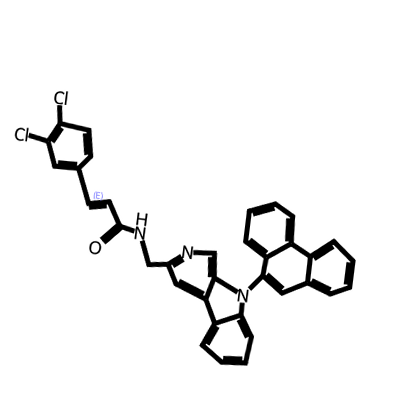 O=C(/C=C/c1ccc(Cl)c(Cl)c1)NCc1cc2c3ccccc3n(-c3cc4ccccc4c4ccccc34)c2cn1